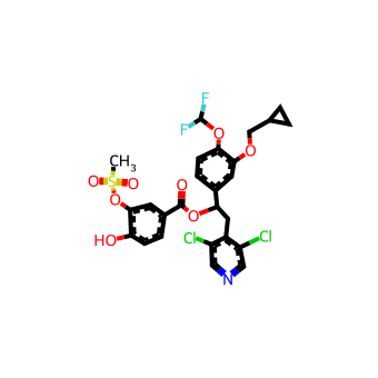 CS(=O)(=O)Oc1cc(C(=O)OC(Cc2c(Cl)cncc2Cl)c2ccc(OC(F)F)c(OCC3CC3)c2)ccc1O